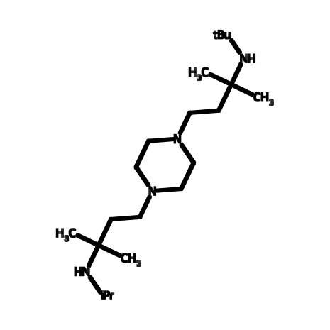 CC(C)NC(C)(C)CCN1CCN(CCC(C)(C)NC(C)(C)C)CC1